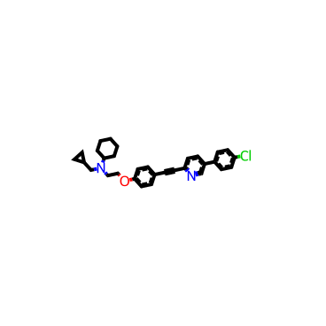 Clc1ccc(-c2ccc(C#Cc3ccc(OCCN(CC4CC4)C4CCCCC4)cc3)nc2)cc1